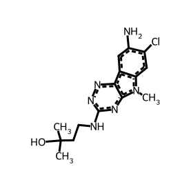 Cn1c2cc(Cl)c(N)cc2c2nnc(NCCC(C)(C)O)nc21